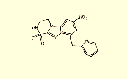 O=[N+]([O-])c1cc(Cc2ccccn2)c2nc3n(c2c1)CCNS3(=O)=O